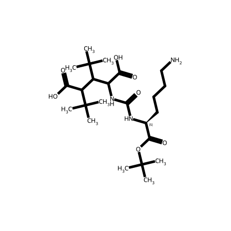 CC(C)(C)OC(=O)[C@H](CCCCN)NC(=O)NC(C(=O)O)C(C(C(=O)O)C(C)(C)C)C(C)(C)C